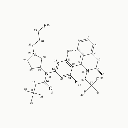 C[C@@H]1Cc2ccccc2C(c2c(F)cc(N(C(=O)CC(C)(C)C)C3CCN(CCCF)C3)cc2F)N1CC(C)(F)F